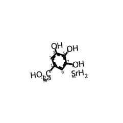 O=C(O)c1cc(O)c(O)c(O)c1.[La].[SrH2]